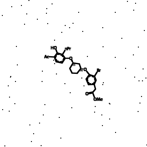 CCCc1c(O[C@@H]2CCC[C@@H](Oc3ccc(CC(=O)OC)cc3Br)C2)ccc(C(C)=O)c1O